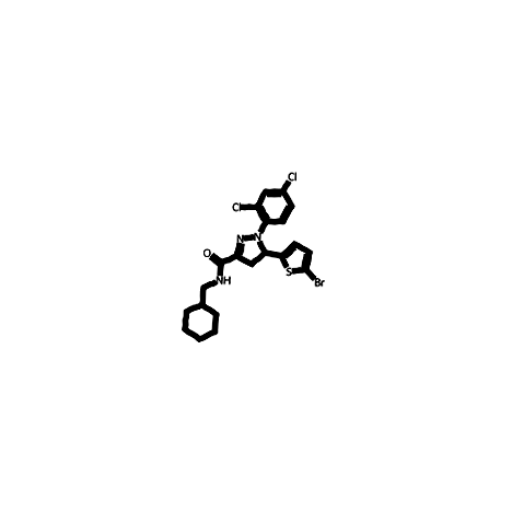 O=C(NCC1CCCCC1)C1=NN(c2ccc(Cl)cc2Cl)C(c2ccc(Br)s2)C1